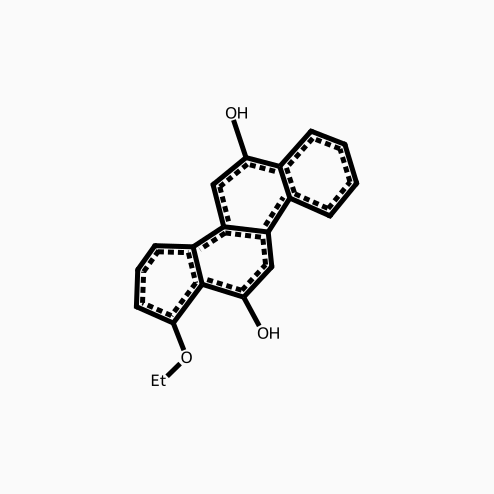 CCOc1cccc2c1c(O)cc1c3ccccc3c(O)cc21